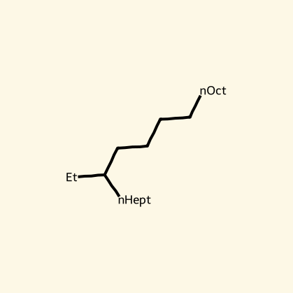 [CH2]CCCCCCCCCCCC(CC)CCCCCC[CH2]